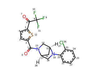 O=C(c1ccc(C(=O)C(F)(F)F)s1)N1C[C@@H]2C[C@H]1CN2c1ccccc1Cl